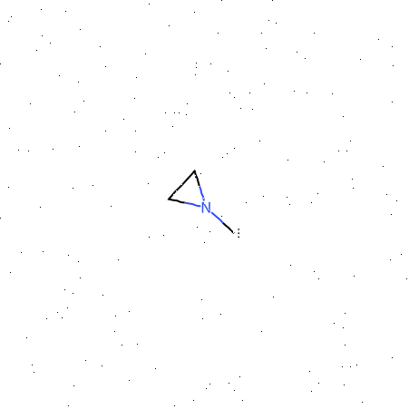 [C]N1CC1